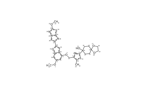 COc1cc(OCc2nc(C3(O)CCC4(CC3)OCCO4)sc2C)c2cc(-c3cn4nc(OC)sc4n3)oc2c1